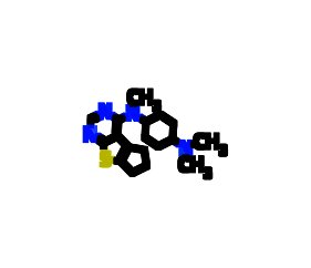 CN(C)C1CCC(N(C)c2ncnc3sc4c(c23)CCC4)CC1